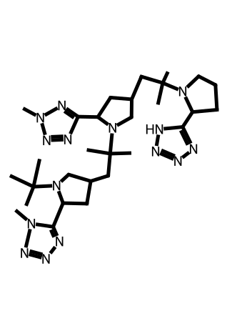 Cn1nnc(C2CC(CC(C)(C)N3CCCC3c3nnn[nH]3)CN2C(C)(C)CC2CC(c3nnnn3C)N(C(C)(C)C)C2)n1